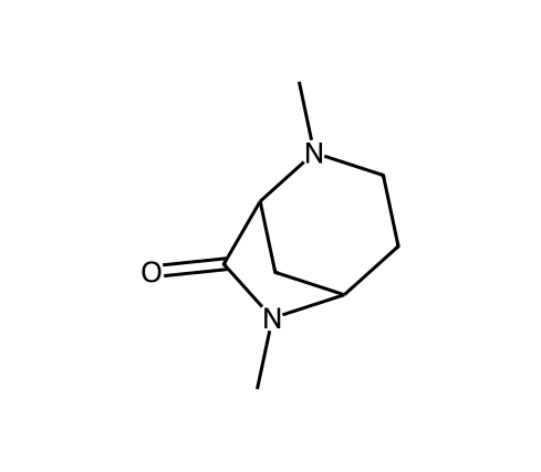 CN1CCC2CC1C(=O)N2C